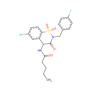 CCCCC(=O)NC1C(=O)N(Cc2ccc(F)cc2)S(=O)(=O)c2ccc(Cl)cc21